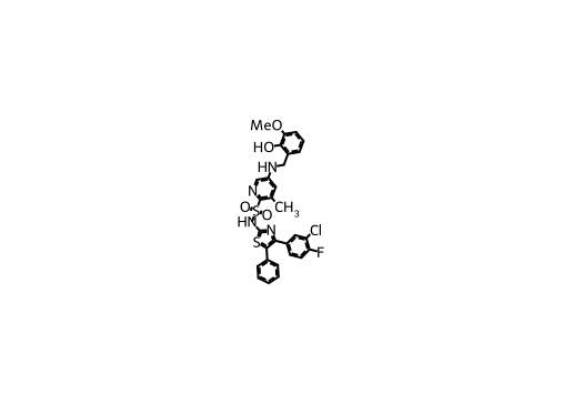 COc1cccc(CNc2cnc(S(=O)(=O)Nc3nc(-c4ccc(F)c(Cl)c4)c(-c4ccccc4)s3)c(C)c2)c1O